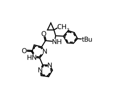 CC(C)(C)c1ccc(C(NC(=O)c2cc(=O)[nH]c(-c3ncccn3)n2)C2(C)CC2)cc1